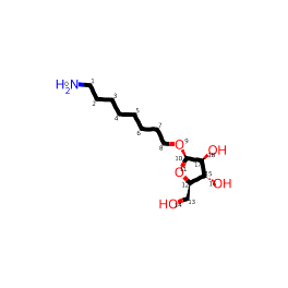 NCCCCCCCCO[C@@H]1O[C@H](CO)[C@@H](O)[C@@H]1O